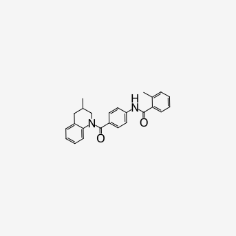 Cc1ccccc1C(=O)Nc1ccc(C(=O)N2CC(C)Cc3ccccc32)cc1